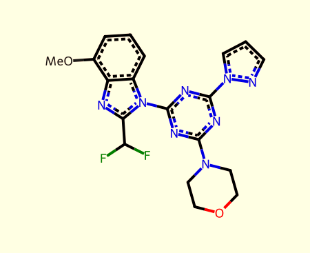 COc1cccc2c1nc(C(F)F)n2-c1nc(N2CCOCC2)nc(-n2cccn2)n1